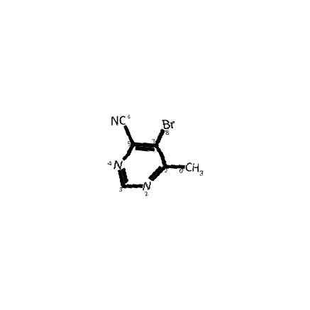 Cc1ncnc(C#N)c1Br